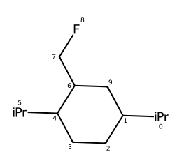 CC(C)C1CCC(C(C)C)C(CF)C1